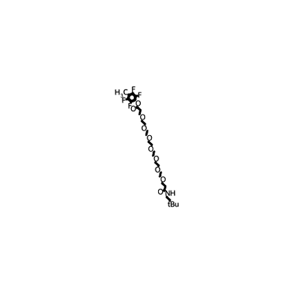 Cc1c(F)c(F)c(OC(=O)CCOCCOCCOCCOCCOCCOCCOCCC(=O)NCCC(C)(C)C)c(F)c1F